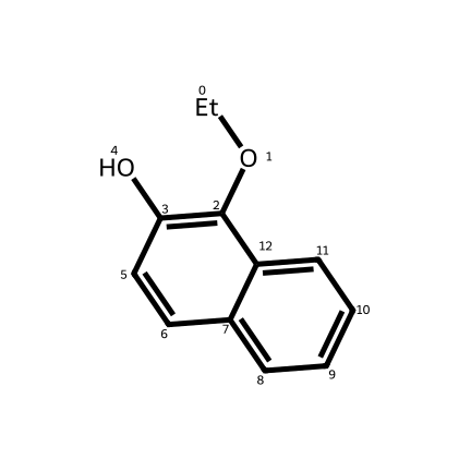 CCOc1c(O)ccc2ccccc12